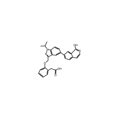 CC(C)n1nc(COc2ccccc2CC(=O)O)c2cc(-c3ccc4ccnc(O)c4c3)ccc21